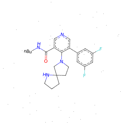 CCCCNC(=O)c1cncc(-c2cc(F)cc(F)c2)c1N1CCC2(CCCN2)C1